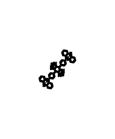 C1=CC2Sc3ccccc3N(c3ccc(-c4c5c(c(-c6ccc(N7c8ccccc8SC8C=CC=CC87)cc6)c6nsnc46)N=S=N5)cc3)C2C=C1